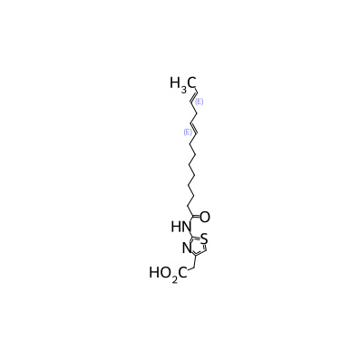 C/C=C/C/C=C/CCCCCCCC(=O)Nc1nc(CC(=O)O)cs1